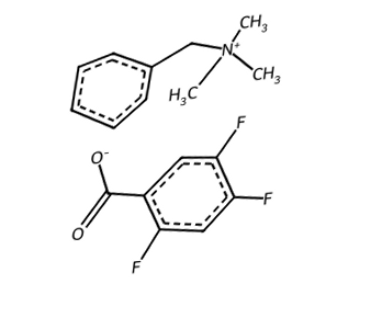 C[N+](C)(C)Cc1ccccc1.O=C([O-])c1cc(F)c(F)cc1F